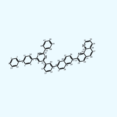 c1ccc(-c2ccc(-c3cc(-c4cccc(-c5ccc6cc(-c7ccc8ccc9cccnc9c8n7)ccc6c5)c4)nc(-c4ccccc4)n3)cc2)cc1